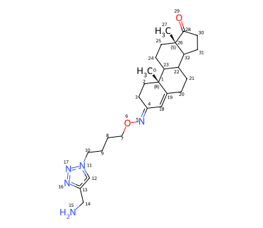 C[C@]12CCC(=NOCCCCn3cc(CN)nn3)C=C1CCC1C2CC[C@]2(C)C(=O)CCC12